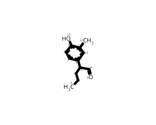 CCCC(C=O)c1ccc(O)c(C)c1